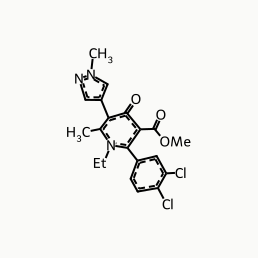 CCn1c(C)c(-c2cnn(C)c2)c(=O)c(C(=O)OC)c1-c1ccc(Cl)c(Cl)c1